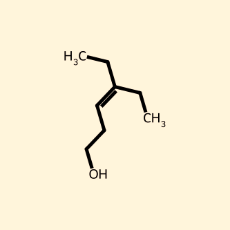 CCC(=CCCO)CC